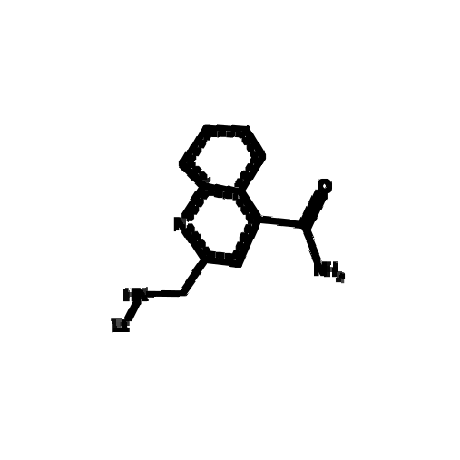 CCNCc1cc(C(N)=O)c2ccccc2n1